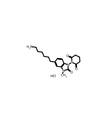 Cl.Cn1c(=O)n(N2C(=O)CCCC2=O)c2ccc(CCCCCCN)cc21